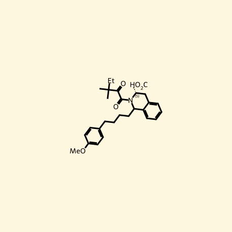 CCC(C)(C)C(=O)C(=O)N1C(CCCCc2ccc(OC)cc2)c2ccccc2C[C@H]1C(=O)O